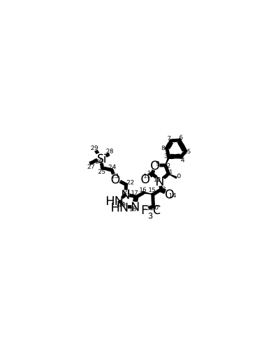 C[C@@H]1[C@H](c2ccccc2)OC(=O)N1C(=O)[C@H](CC1=NNNN1COCC[Si](C)(C)C)CC(F)(F)F